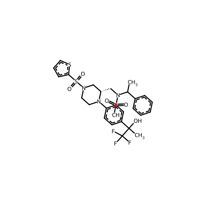 CC(c1ccccc1)N(C[C@H]1CN(S(=O)(=O)c2cccs2)CCN1c1ccc(C(C)(O)C(F)(F)F)cc1)S(C)(=O)=O